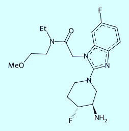 CCN(CCOC)C(=O)Cn1c(N2CC[C@@H](F)[C@H](N)C2)nc2ccc(F)cc21